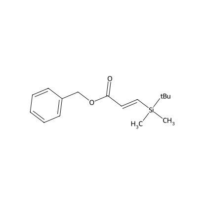 CC(C)(C)[Si](C)(C)/C=C/C(=O)OCc1ccccc1